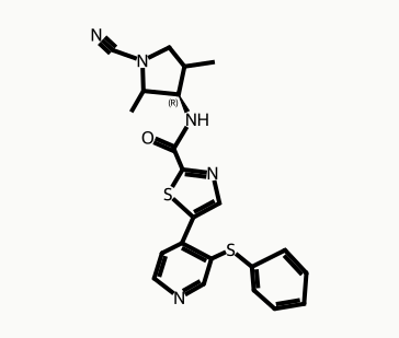 CC1CN(C#N)C(C)[C@@H]1NC(=O)c1ncc(-c2ccncc2Sc2ccccc2)s1